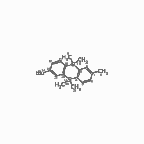 Cc1ccc2c(c1)[Si](C)(C)c1ccc(C(C)(C)C)cc1[Si]2(C)C